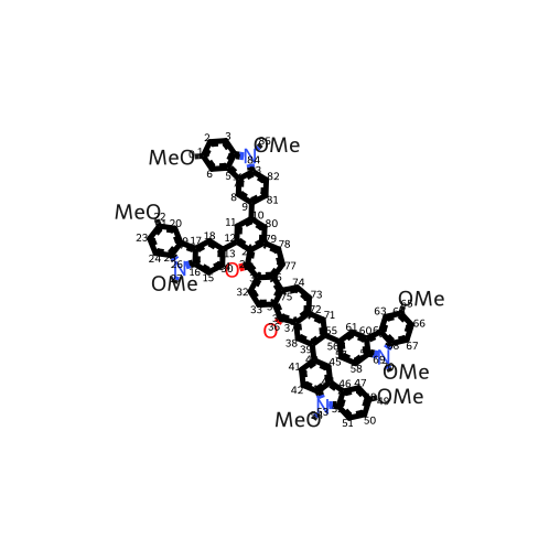 COc1ccc2c(c1)c1cc(-c3cc(-c4ccc5c(c4)c4cc(OC)ccc4n5OC)c4c(=O)c5ccc6c(=O)c7cc(-c8ccc9c(c8)c8cc(OC)ccc8n9OC)c(-c8ccc9c(c8)c8cc(OC)ccc8n9OC)cc7ccc6c5ccc4c3)ccc1n2OC